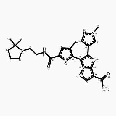 Cc1cc(C(=O)NCCN2CCCC2(C)C)sc1-c1c(-c2cnn(C)c2)sc2c(C(N)=O)cnn12